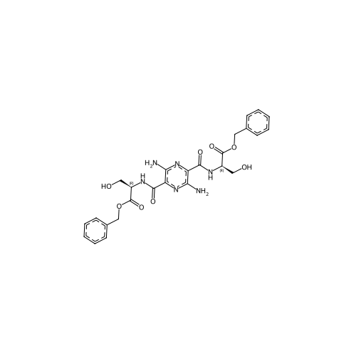 Nc1nc(C(=O)N[C@H](CO)C(=O)OCc2ccccc2)c(N)nc1C(=O)N[C@H](CO)C(=O)OCc1ccccc1